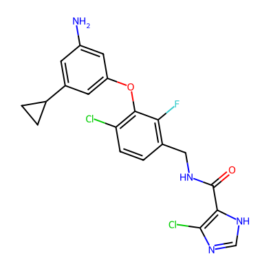 Nc1cc(Oc2c(Cl)ccc(CNC(=O)c3[nH]cnc3Cl)c2F)cc(C2CC2)c1